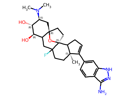 CN(C)[C@H]1C[C@@]23CC[C@]4(O2)C2CC=C(c5ccc6c(N)n[nH]c6c5)[C@@]2(C)CCC4(F)CC3[C@@H](O)[C@@H]1O